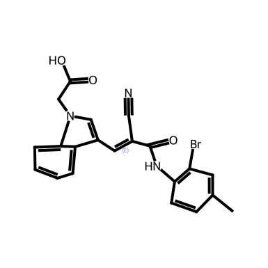 Cc1ccc(NC(=O)/C(C#N)=C/c2cn(CC(=O)O)c3ccccc23)c(Br)c1